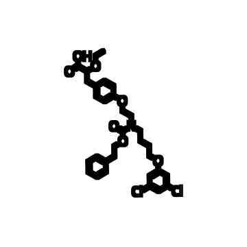 CCOC(Cc1ccc(OCCN(CCCCOc2cc(Cl)cc(Cl)c2)C(=O)OCCc2ccccc2)cc1)C(=O)O